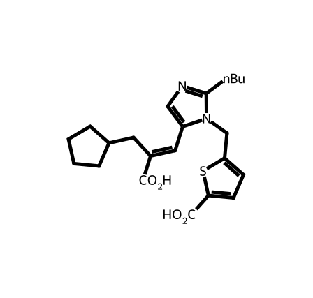 CCCCc1ncc(C=C(CC2CCCC2)C(=O)O)n1Cc1ccc(C(=O)O)s1